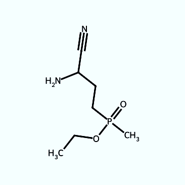 CCOP(C)(=O)CCC(N)C#N